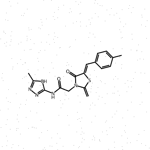 C=c1s/c(=C\c2ccc(C)cc2)c(=O)n1CC(=O)NC1=NN=C(C)B1